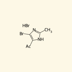 Br.CC(=O)c1[nH]c(C)nc1Br